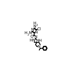 CC(c1ccccc1)N1CCC2(CC1)CN/C(=N\C(=O)c1nc(Cl)c(N)nc1N)N2